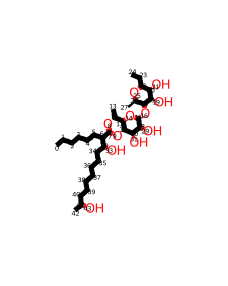 CCCCCCC(C(=O)O[C@@H]1C(CC)O[C@@H](OC2[C@@H](O)[C@H](O)C(CC)O[C@@H]2C)C(O)[C@H]1O)C(O)CCCCCCCC(C)O